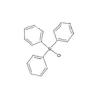 [O][Si](c1ccccc1)(c1ccccc1)c1ccccc1